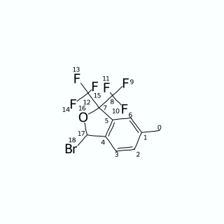 Cc1ccc2c(c1)C(C(F)(F)F)(C(F)(F)F)OC2Br